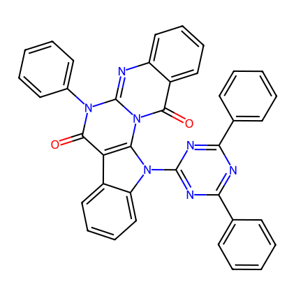 O=c1c2c3ccccc3n(-c3nc(-c4ccccc4)nc(-c4ccccc4)n3)c2n2c(=O)c3ccccc3nc2n1-c1ccccc1